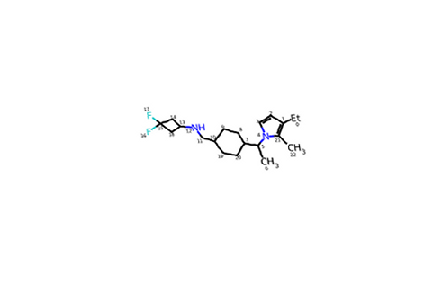 CCc1ccn(C(C)C2CCC(CNC3CC(F)(F)C3)CC2)c1C